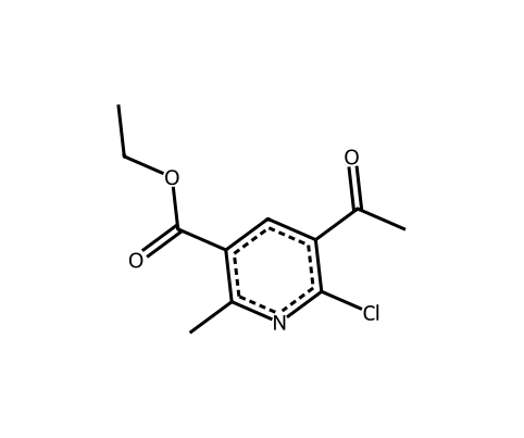 CCOC(=O)c1cc(C(C)=O)c(Cl)nc1C